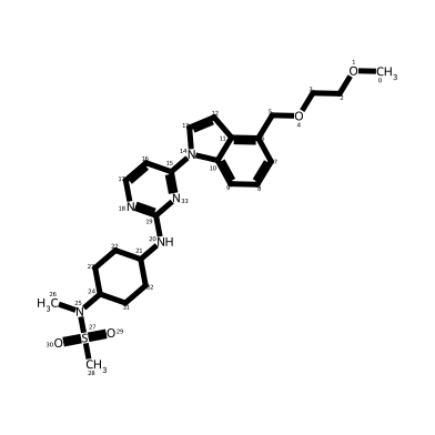 COCCOCc1cccc2c1ccn2-c1ccnc(NC2CCC(N(C)S(C)(=O)=O)CC2)n1